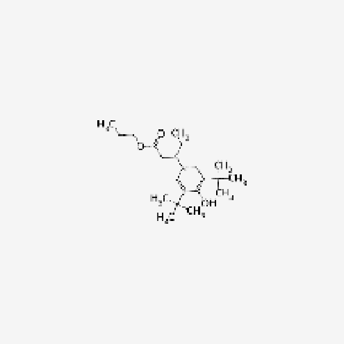 CCCOC(=O)CC(CC)c1cc(C(C)(C)C)c(O)c(C(C)(C)C)c1